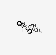 COc1ccnc(CSc2nc3ccccc3[nH]2)c1OC